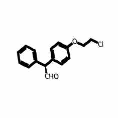 O=C[C@@H](c1ccccc1)c1ccc(OCCCl)cc1